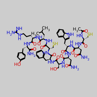 CC(=O)N[C@H](CS)C(=O)N[C@@H](CC(N)=O)C(=O)N[C@@H](Cc1c[nH]c2ccccc12)C(=O)N[C@@H](CC(N)=O)C(=O)N[C@@H](CO)C(=O)N[C@@H](Cc1ccccc1)C(=O)N[C@@H](CS)C(=O)N[C@@H](CC(C)C)C(=O)N[C@@H](CCCNC(=N)N)C(=O)N[C@@H](Cc1ccc(O)cc1)C(N)=O